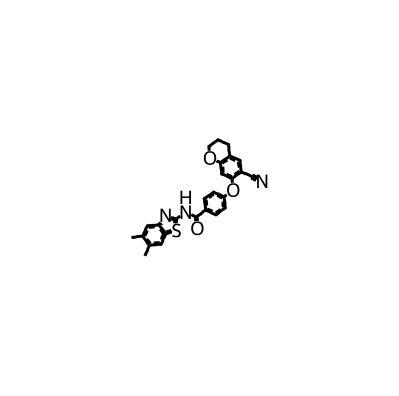 Cc1cc2nc(NC(=O)c3ccc(Oc4cc5c(cc4C#N)CCCO5)cc3)sc2cc1C